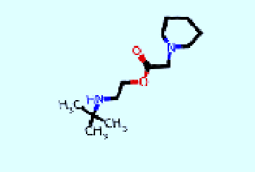 CC(C)(C)NCCOC(=O)CN1CCCCC1